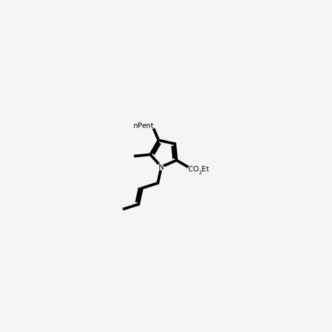 CC=CCn1c(C(=O)OCC)cc(CCCCC)c1C